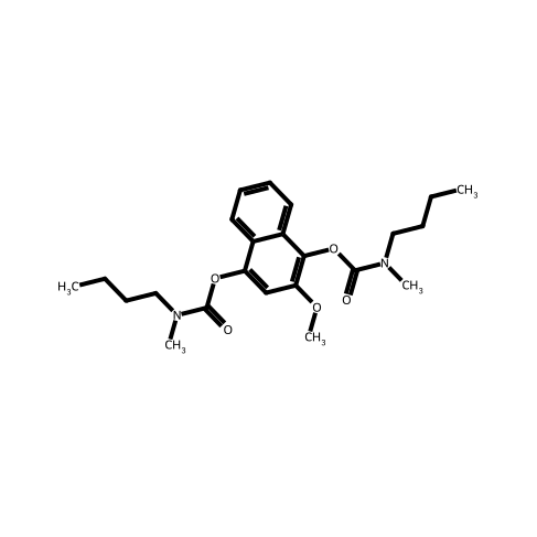 CCCCN(C)C(=O)Oc1cc(OC)c(OC(=O)N(C)CCCC)c2ccccc12